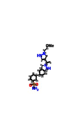 C=C(C1=CNN(CCOC)C1)N1Cc2cc(-c3cccc(S(N)(=O)=O)c3)ccc2N1